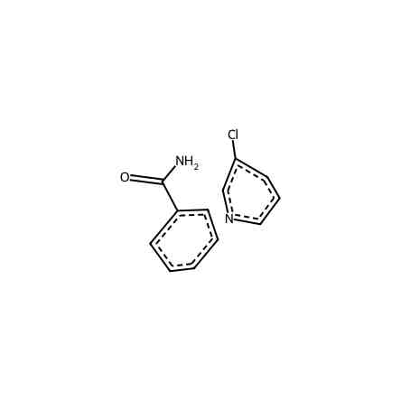 Clc1cccnc1.NC(=O)c1ccccc1